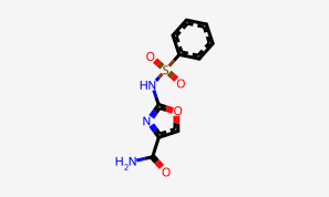 NC(=O)c1coc(NS(=O)(=O)c2ccccc2)n1